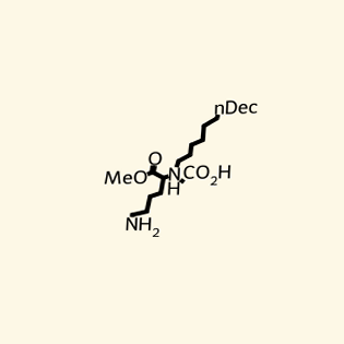 CC(=O)O.CCCCCCCCCCCCCCCCNC(CCCCN)C(=O)OC